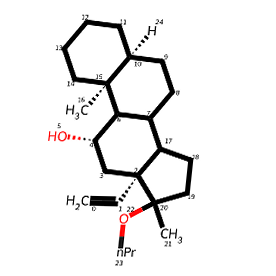 C=C[C@]12C[C@H](O)C3C(CC[C@@H]4CCCC[C@]34C)C1CCC2(C)OCCC